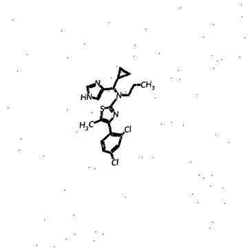 CCCN(c1nc(-c2ccc(Cl)cc2Cl)c(C)s1)C(c1c[nH]cn1)C1CC1